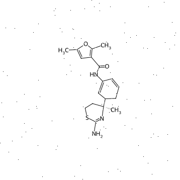 Cc1cc(C(=O)NC2=CC([C@]3(C)CCSC(N)=N3)CC=C2)c(C)o1